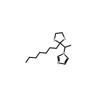 CCCCCCCC1(C(C)n2ccnc2)SCCS1